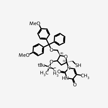 COc1ccc(C(OC[C@H]2O[C@@](CS)(n3cc(C)c(=O)[nH]c3=O)CC2O[Si](C)(C)C(C)(C)C)(c2ccccc2)c2ccc(OC)cc2)cc1